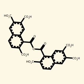 O=C(O)c1cc2ccc(C(=O)O)c(C(=O)OC(=O)c3c(C(=O)O)ccc4cc(C(=O)O)c(C(=O)O)cc34)c2cc1C(=O)O